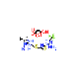 CN/C(=N/C#N)NCCSCc1csc(N/C(N)=N\CC(F)(F)F)n1.O=C(O)/C=C\C(=O)O